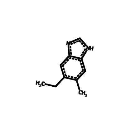 CCc1cc2nc[nH]c2cc1C